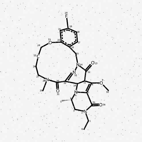 CCN1C[C@H](C)N2C(=C(OC)C3C(=O)N4Cc5ccc(F)cc5OCCCCN(C)C(=O)C(=N4)C32)C1=O